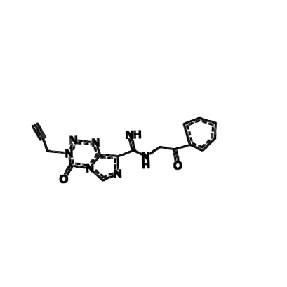 C#CCn1nnc2c(C(=N)NCC(=O)c3ccccc3)ncn2c1=O